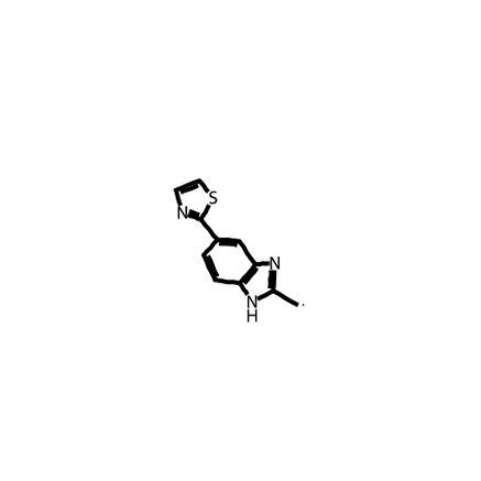 [CH2]c1nc2cc(-c3nccs3)ccc2[nH]1